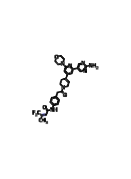 C/C(=C/C(=O)Nc1ccc(CC(=O)N2CC=C(c3cc(-c4cnc(N)nc4)nc(N4CCOCC4)c3)CC2)cc1)C(F)(F)F